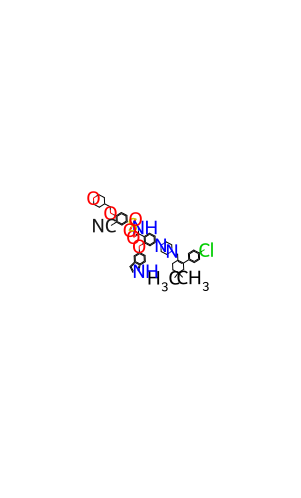 CC1(C)CCC(CN2CCN(c3ccc(C(=O)NS(=O)(=O)c4ccc(OCC5CCOCC5)c(C#N)c4)c(Oc4ccc5[nH]ccc5c4)c3)CC2)=C(c2ccc(Cl)cc2)C1